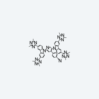 Cc1nc(C)nc(-c2ccc3c(c2)c2cc(-c4nc(C)nc(C)n4)ccc2n3-c2cc(-c3ccc(C#N)cc3)c(-n3c4ccc(-c5nc(C)nc(C)n5)cc4c4cc(-c5nc(C)nc(C)n5)ccc43)cn2)n1